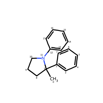 CC1(c2ccccc2)CCCN1c1ccccc1